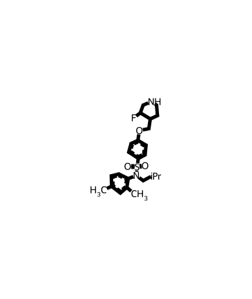 Cc1ccc(N(CC(C)C)S(=O)(=O)c2ccc(OCC3CCNCC3F)cc2)c(C)c1